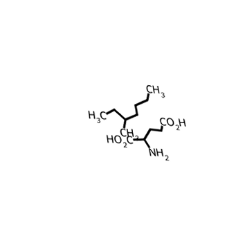 CCCCC(C)CC.NC(CCC(=O)O)C(=O)O